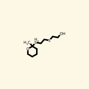 CC1([SiH2]CCSCCO)CCCCO1